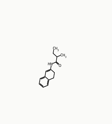 CCC(C)C(=O)NC1=Cc2ccccc2CC1